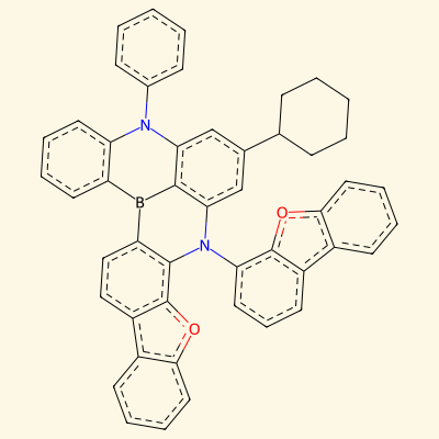 c1ccc(N2c3ccccc3B3c4ccc5c(oc6ccccc65)c4N(c4cccc5c4oc4ccccc45)c4cc(C5CCCCC5)cc2c43)cc1